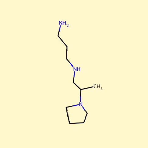 CC(CNCCCN)N1CCCC1